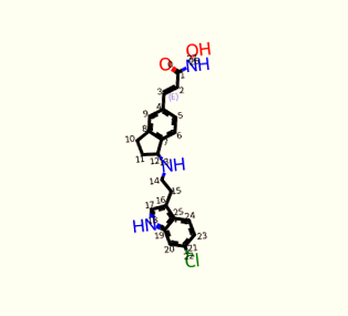 O=C(/C=C/c1ccc2c(c1)CCC2NCCc1c[nH]c2cc(Cl)ccc12)NO